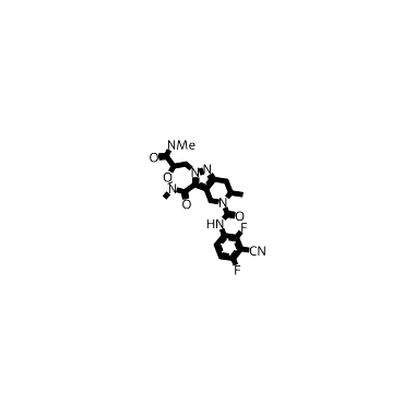 CNC(=O)C1Cn2nc3c(c2C(=O)N(C)O1)CN(C(=O)Nc1ccc(F)c(C#N)c1F)C(C)C3